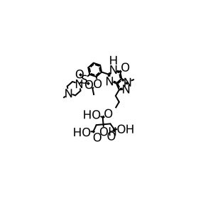 CCCc1nn(C)c2c(=O)[nH]c(-c3cccc(S(=O)(=O)N4CCN(C)CC4)c3OCC)nc12.O=C(O)CC(O)(CC(=O)O)C(=O)O